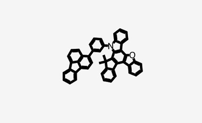 CC1(C)c2ccccc2-c2c1c1c(c3ccccc3n1-c1cccc(-c3ccc4c5c(cccc35)-c3ccccc3-4)c1)c1oc3ccccc3c21